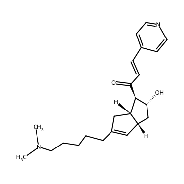 CN(C)CCCCCC1=C[C@H]2C[C@@H](O)[C@H](C(=O)/C=C/c3ccncc3)[C@H]2C1